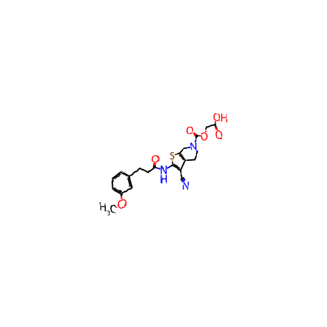 COc1cccc(CCC(=O)Nc2sc3c(c2C#N)CCN(C(=O)OCC(=O)O)C3)c1